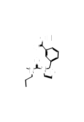 CCCN(C)C(=O)N1C=COC1c1cccc(C(=O)O)c1